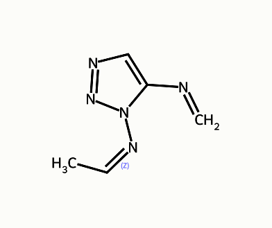 C=Nc1cnnn1/N=C\C